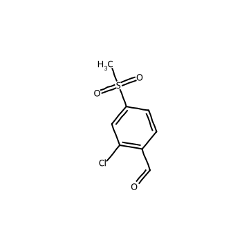 CS(=O)(=O)c1ccc(C=O)c(Cl)c1